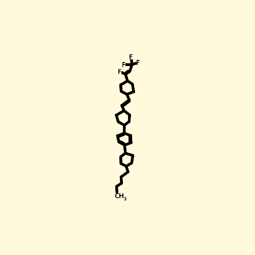 CCCCCC1CCC(c2ccc(C3CCC(/C=C/C4CCC(/C(F)=C/C(F)(F)F)CC4)CC3)cc2)CC1